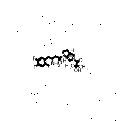 CC(C)(O)C(=O)N1C[C@@H]2CCN(C(=O)C[C@H](N)Cc3cc(F)c(F)cc3F)[C@@H]2C1